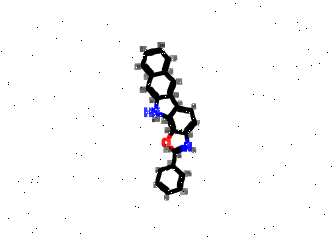 C1=CCC(c2nc3ccc4c5cc6ccccc6cc5[nH]c4c3o2)C=C1